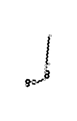 CCC=CCC=CCC=CCC=CCCCCC(=O)OCOc1ccc2ccc(OCCCCN3CCN(c4cccc5sccc45)CC3)cc2n1